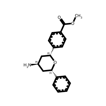 COC(=O)c1ccc([C@H]2C[C@H](N)C[C@@H](c3ccccc3)O2)cc1